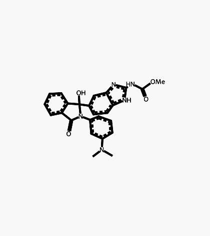 COC(=O)Nc1nc2cc(C3(O)c4ccccc4C(=O)N3c3cccc(N(C)C)c3)ccc2[nH]1